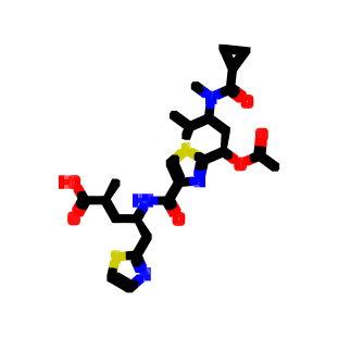 CC(=O)O[C@H](CC(C(C)C)N(C)C(=O)C1CC1)c1nc(C(=O)N[C@@H](Cc2nccs2)C[C@H](C)C(=O)O)cs1